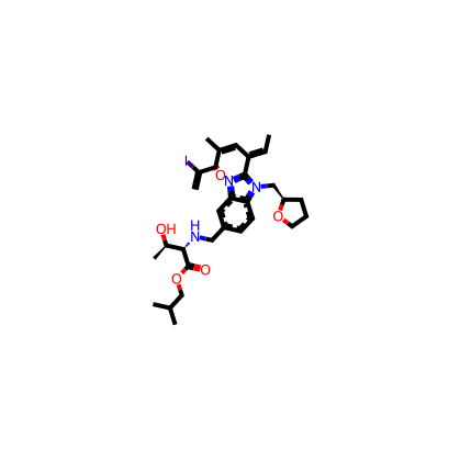 C=C(I)C(=O)/C(C)=C\C(=C/C)c1nc2cc(CN[C@H](C(=O)OCC(C)C)[C@@H](C)O)ccc2n1C[C@H]1CCCO1